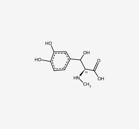 CN[C@H](C(=O)O)C(O)c1ccc(O)c(O)c1